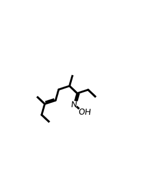 CCC(C)=CCC(C)C(CC)=NO